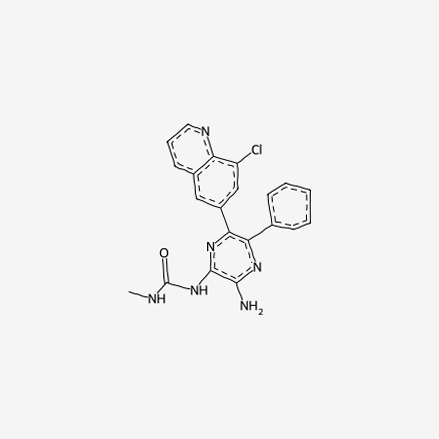 CNC(=O)Nc1nc(-c2cc(Cl)c3ncccc3c2)c(-c2ccccc2)nc1N